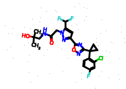 CC(C)(O)CNC(=O)Cn1nc(-c2nc(C3(c4ccc(F)cc4Cl)CC3)no2)cc1C(F)F